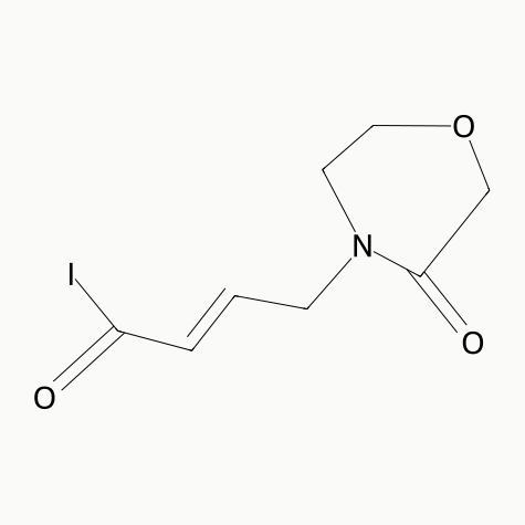 O=C(I)/C=C/CN1CCOCC1=O